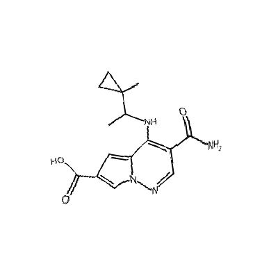 CC(Nc1c(C(N)=O)cnn2cc(C(=O)O)cc12)C1(C)CC1